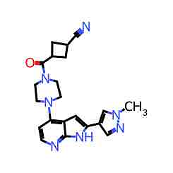 Cn1cc(-c2cc3c(N4CCN(C(=O)C5CC(C#N)C5)CC4)ccnc3[nH]2)cn1